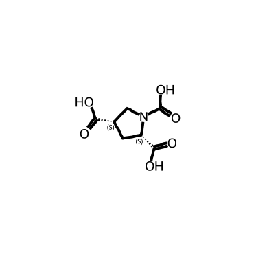 O=C(O)[C@H]1C[C@@H](C(=O)O)N(C(=O)O)C1